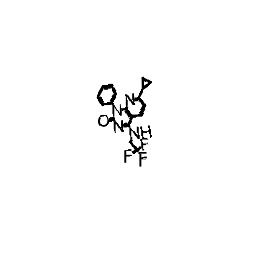 O=c1nc(NCC(F)(F)F)c2ccc(C3CC3)nc2n1-c1ccccc1